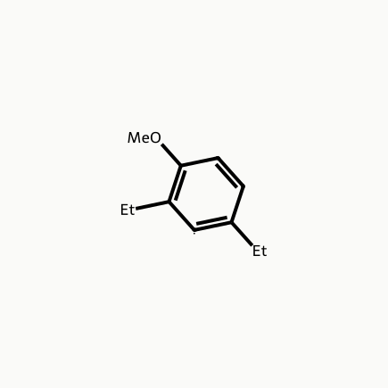 CCc1[c]c(CC)c(OC)cc1